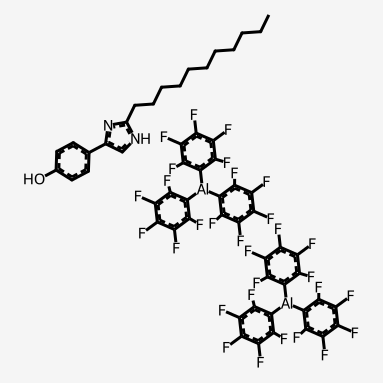 CCCCCCCCCCCc1nc(-c2ccc(O)cc2)c[nH]1.Fc1c(F)c(F)[c]([Al]([c]2c(F)c(F)c(F)c(F)c2F)[c]2c(F)c(F)c(F)c(F)c2F)c(F)c1F.Fc1c(F)c(F)[c]([Al]([c]2c(F)c(F)c(F)c(F)c2F)[c]2c(F)c(F)c(F)c(F)c2F)c(F)c1F